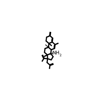 C=C(C)CC1(C(=C)C)CC[C@@]2(N)C3C=C(C)C4=CC(=C)CCC4(C)[C@@]3(C)CCC12C